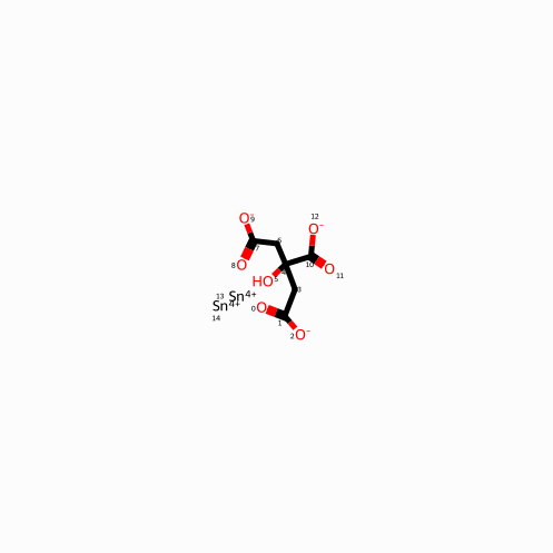 O=C([O-])CC(O)(CC(=O)[O-])C(=O)[O-].[Sn+4].[Sn+4]